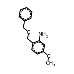 COc1ccc(COCc2ccccc2)c(N)c1